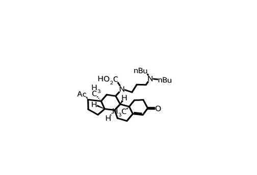 CCCCN(CCCC)CCCN(C(=O)O)C1C[C@]2(C)[C@@H](C(C)=O)CC[C@H]2[C@@H]2CCC3=CC(=O)CC[C@]3(C)[C@@H]12